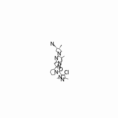 Cc1cn2nc([C@@H]3CCCCN3C(=O)c3c(Cl)c(C)nn3C)cc2nc1N1C[C@@H](C#N)[C@@H](C)C1